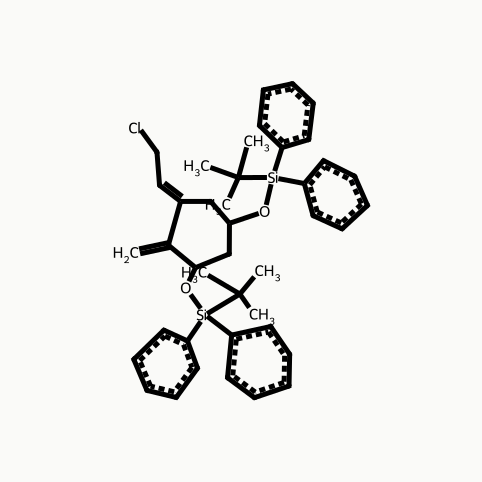 C=C1C(=CCCl)CC(O[Si](c2ccccc2)(c2ccccc2)C(C)(C)C)CC1O[Si](c1ccccc1)(c1ccccc1)C(C)(C)C